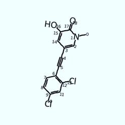 Cn1cc(C#Cc2ccc(Cl)cc2Cl)cc(O)c1=O